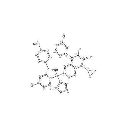 COc1ccc(CNC(c2ccc(Cl)nc2)(c2ccc3c(c2)c(-c2cccc(Cl)c2)c(C)c(=O)n3C2CC2)c2cncn2C)cc1